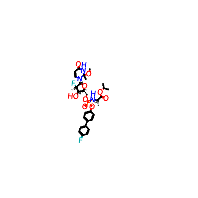 COC1(C)NC(=O)C=CN1[C@@H]1O[C@H](COP(=O)(N[C@@H](C)C(=O)OC(C)C)Oc2ccc(-c3ccc(F)cc3)cc2)[C@@H](O)[C@@]1(C)F